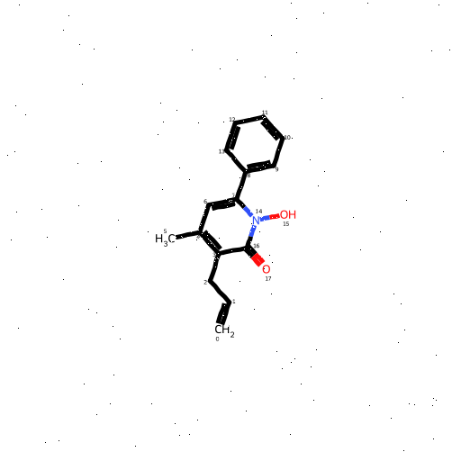 C=CCc1c(C)cc(-c2ccccc2)n(O)c1=O